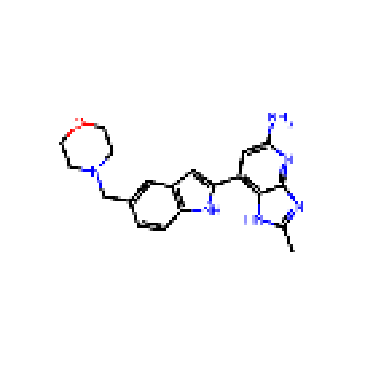 Cc1nc2nc(N)cc(-c3cc4cc(CN5CCOCC5)ccc4[nH]3)c2[nH]1